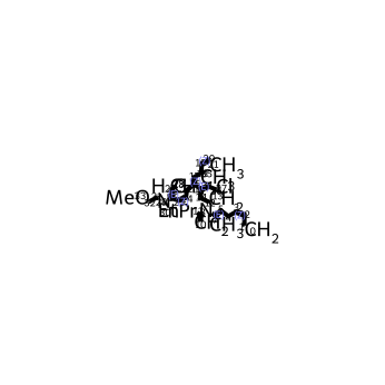 C=C/C=C\C/C=C(\C)N(C(=C)CCC)C(=C)CC(/C(=C\C/C=C\C)C(=C)/C=C\C(=C/C)N(CC)CCOC)=C(/C)CCl